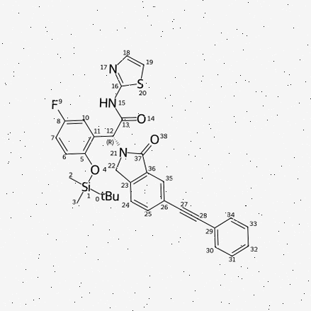 CC(C)(C)[Si](C)(C)Oc1ccc(F)cc1[C@H](C(=O)Nc1nccs1)N1Cc2ccc(C#Cc3ccccc3)cc2C1=O